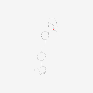 O=C(O)C1CC2CCC(C1)N2C(=O)c1cccc(COc2ccc(-c3ccn[nH]3)nc2)c1